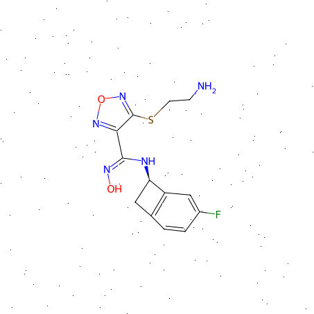 NCCSc1nonc1/C(=N/O)N[C@@H]1Cc2ccc(F)cc21